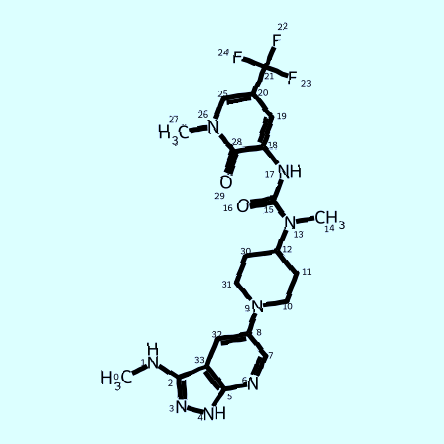 CNc1n[nH]c2ncc(N3CCC(N(C)C(=O)Nc4cc(C(F)(F)F)cn(C)c4=O)CC3)cc12